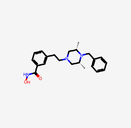 C[C@@H]1CN(CCc2cccc(C(=O)NO)c2)C[C@H](C)N1Cc1ccccc1